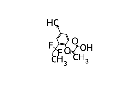 C#Cc1ccc(O[C@@H](C)C(=O)O)c(C(F)(F)CC)c1